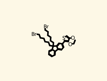 BrCCCCCCC1(CCCCCCBr)c2ccccc2-c2ccc(-c3scc4c3OCCO4)cc21